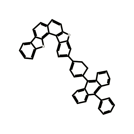 C1=C(c2ccc3c(c2)oc2ccc4ccc5c6ccccc6oc5c4c23)CCC(c2c3ccccc3c(-c3ccccc3)c3ccccc23)=C1